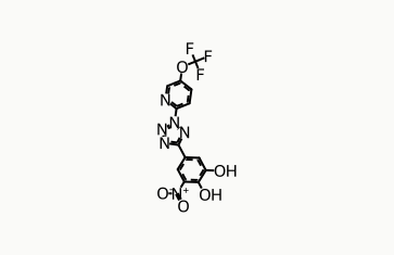 O=[N+]([O-])c1cc(-c2nnn(-c3ccc(OC(F)(F)F)cn3)n2)cc(O)c1O